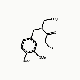 COc1ccc(CN(CC(=O)O)C(=O)OC(C)(C)C)cc1OC